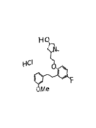 COc1cccc(CCc2cc(F)ccc2OCCC2CC(O)CN2C)c1.Cl